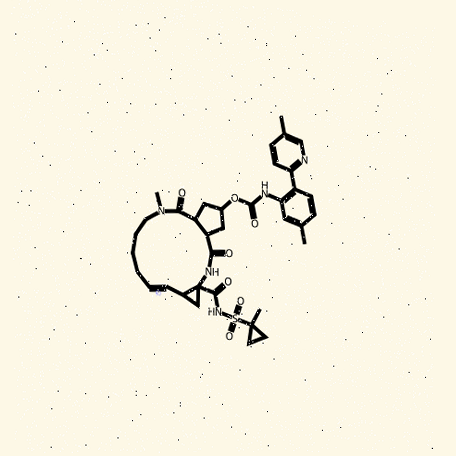 Cc1ccc(-c2ccc(C)cc2NC(=O)OC2CC3C(=O)NC4(C(=O)NS(=O)(=O)C5(C)CC5)CC4/C=C/CCCCN(C)C(=O)C3C2)nc1